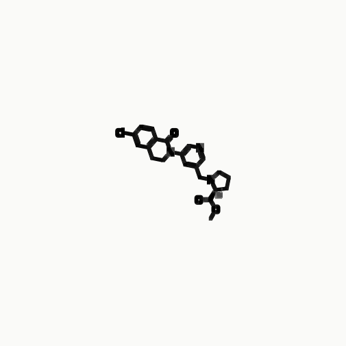 COC(=O)[C@@H]1CCCN1Cc1cncc(N2CCc3cc(Cl)ccc3C2=O)c1